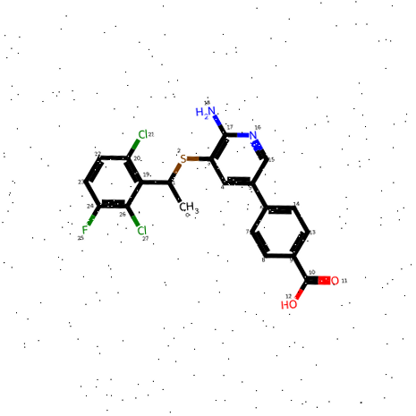 CC(Sc1cc(-c2ccc(C(=O)O)cc2)cnc1N)c1c(Cl)ccc(F)c1Cl